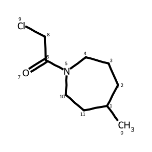 CC1[CH]CCN(C(=O)CCl)CC1